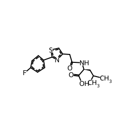 CC(C)C[C@H](NC(=O)Cc1csc(-c2ccc(F)cc2)n1)C(=O)O